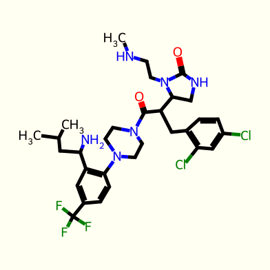 CNCCN1C(=O)NCC1C(Cc1ccc(Cl)cc1Cl)C(=O)N1CCN(c2ccc(C(F)(F)F)cc2C(N)CC(C)C)CC1